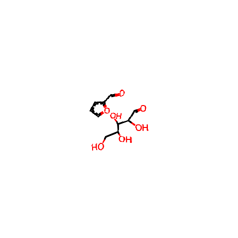 O=CC(O)C(O)C(O)CO.O=Cc1ccco1